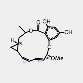 CO[C@H]1/C=C/C=C\C2C[C@@H]2CC(C)OC(=O)c2c(O)cc(O)cc2C1